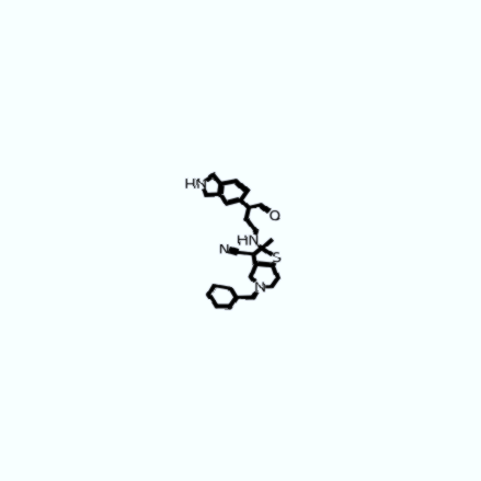 CC1(NCCC(C=O)c2ccc3c(c2)CNC3)SC2=C(CN(CC3CCCCC3)CC2)C1C#N